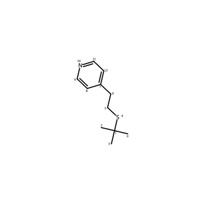 CC(C)(C)SCCc1ccncc1